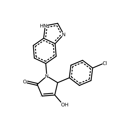 O=C1[C]=C(O)C(c2ccc(Cl)cc2)N1c1ccc2[nH]cnc2c1